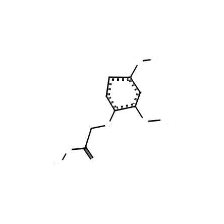 COC(=O)CNc1ccc(OC)cc1OC